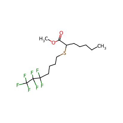 CCCCCC(SCCCCC(F)(F)C(F)(F)C(F)(F)F)C(=O)OC